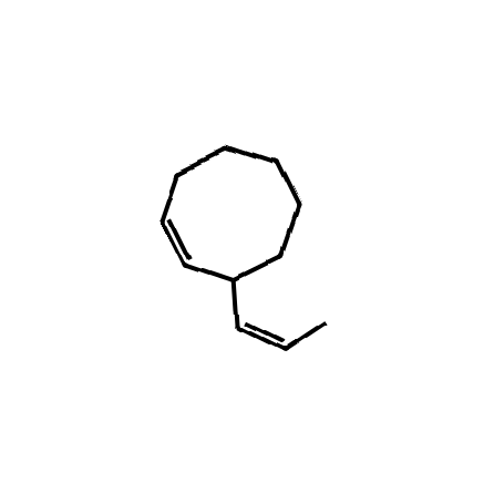 C/C=C\C1/C=C\CCCCC1